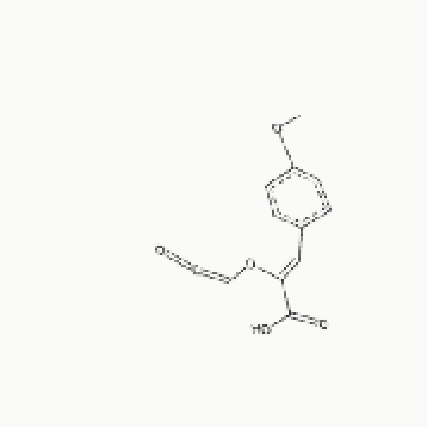 COc1ccc(C=C(OC=C=O)C(=O)O)cc1